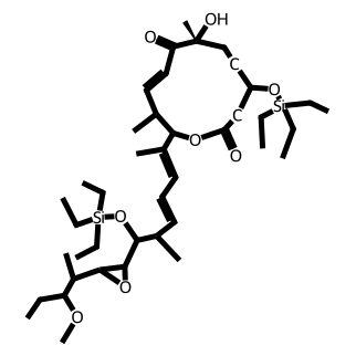 CCC(OC)C(C)C1OC1C(O[Si](CC)(CC)CC)C(C)/C=C/C=C(\C)C1OC(=O)CC(O[Si](CC)(CC)CC)CC[C@@](C)(O)C(=O)/C=C/C1C